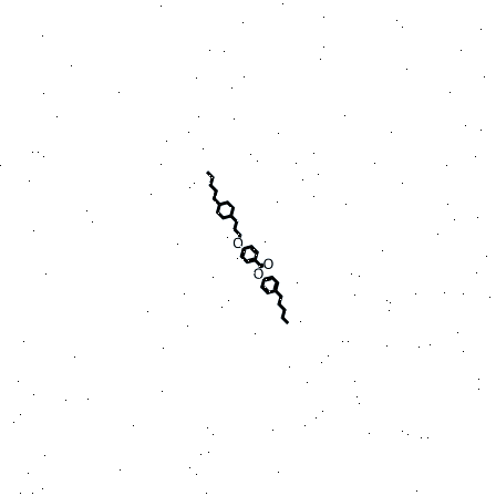 CCCCCc1ccc(OC(=O)c2ccc(OCCCC3CCC(CCCCC)CC3)cc2)cc1